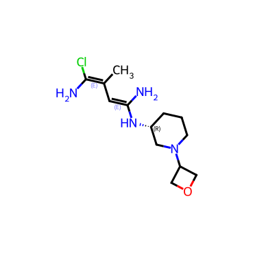 CC(/C=C(\N)N[C@@H]1CCCN(C2COC2)C1)=C(/N)Cl